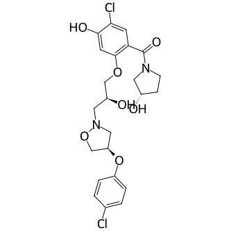 O=C(c1cc(Cl)c(O)cc1OC[C@@H](O)CN1C[C@@H](Oc2ccc(Cl)cc2)CO1)N1CC[C@H](O)C1